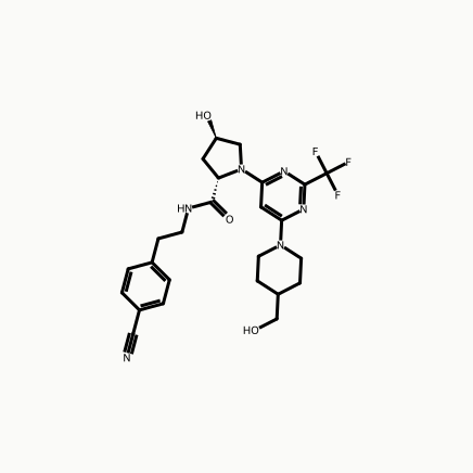 N#Cc1ccc(CCNC(=O)[C@@H]2C[C@@H](O)CN2c2cc(N3CCC(CO)CC3)nc(C(F)(F)F)n2)cc1